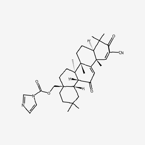 CC1(C)CC[C@]2(COC(=O)n3ccnc3)CC[C@]3(C)[C@H](C(=O)C=C4[C@@]5(C)C=C(C#N)C(=O)C(C)(C)[C@@H]5CC[C@]43C)[C@@H]2C1